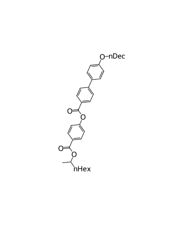 CCCCCCCCCCOc1ccc(-c2ccc(C(=O)Oc3ccc(C(=O)OC(C)CCCCCC)cc3)cc2)cc1